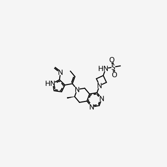 C=Nc1[nH]ccc1/C(=C\C)N1Cc2c(ncnc2N2CC(NS(C)(=O)=O)C2)C[C@H]1C